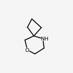 [CH]1CCC12COCCN2